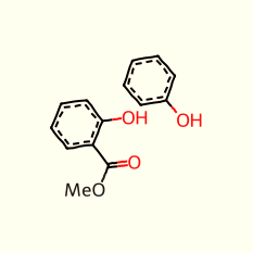 COC(=O)c1ccccc1O.Oc1ccccc1